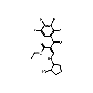 CCOC(=O)C(=CNC1CCCC1O)C(=O)c1cc(F)c(F)c(F)c1F